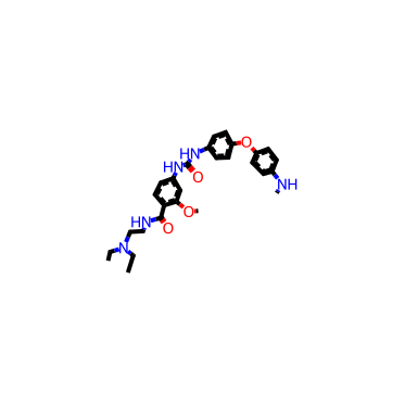 CCN(CC)CCNC(=O)c1ccc(NC(=O)Nc2ccc(Oc3ccc(NC)cc3)cc2)cc1OC